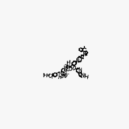 CC(C)c1ccccc1[C@H]1CCCN1C1CC2(CCN(c3ccc(C(=O)NS(=O)(=O)c4ccc(NC[C@H]5CC[C@](C)(O)CC5)c([N+](=O)[O-])n4)c(Oc4cnc5[nH]ccc5c4)c3)CC2)C1